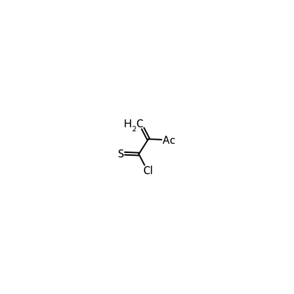 C=C(C(C)=O)C(=S)Cl